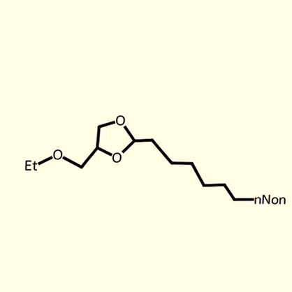 CCCCCCCCCCCCCCCC1OCC(COCC)O1